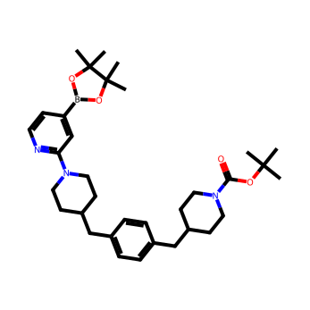 CC(C)(C)OC(=O)N1CCC(Cc2ccc(CC3CCN(c4cc(B5OC(C)(C)C(C)(C)O5)ccn4)CC3)cc2)CC1